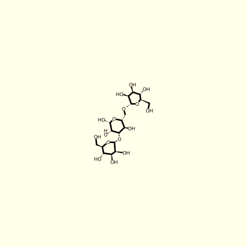 OC[C@H]1O[C@H](OC[C@H]2O[C@@H](O)[C@@H](O)[C@@H](O[C@H]3O[C@H](CO)[C@@H](O)[C@H](O)[C@@H]3O)[C@@H]2O)[C@@H](O)[C@@H](O)[C@@H]1O